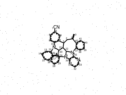 C=C1CC2c3cc(C#N)ccc3N3c4ccccc4N(C)C3C2C2N(c3ccccc3)c3nccnc3N2c2ccccc21